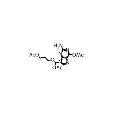 COc1nc(N)nc2c1ncn2C(OCCCOC(C)=O)OC(C)=O